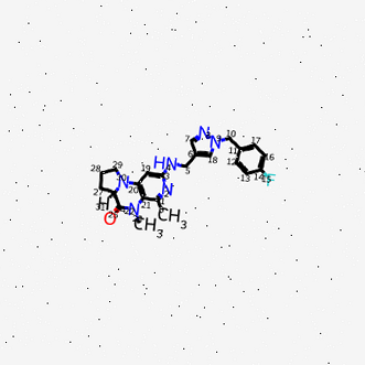 Cc1nc(NCc2cnn(Cc3ccc(F)cc3)c2)cc2c1N(C)C(=O)[C@@H]1CCCN21